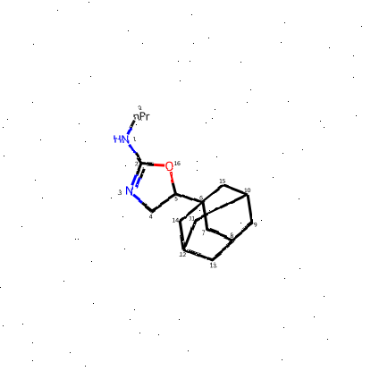 CCCNC1=NCC(C23CC4CC(CC(C4)C2)C3)O1